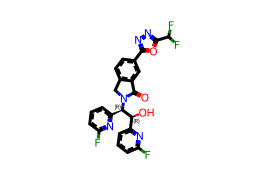 O=C1c2cc(-c3nnc(C(F)F)o3)ccc2CN1[C@H](c1cccc(F)n1)[C@@H](O)c1cccc(F)n1